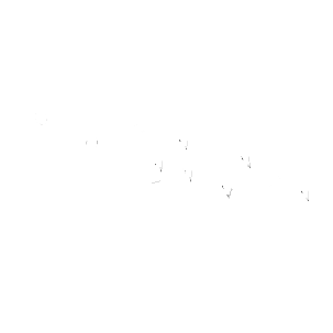 CCn1c(-c2ccncc2)nc2cnc(Nc3cccc(OCCOC)c3)nc21